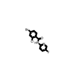 O=C(Nc1ccc(F)cn1)c1ccc(Br)cc1Cl